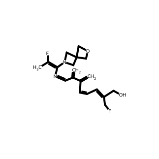 C=C(/C=C\C=C(\CO)CF)C(=C)/C=N\C(=C(/C)F)N1CC2(COC2)C1